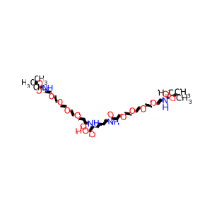 CC(C)(C)OC(=O)NCCOCCOCCOCCOCCC(=O)NCCCC[C@@H](NC(=O)CCOCCOCCOCCOCCNC(=O)OC(C)(C)C)C(=O)O